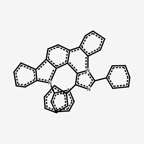 c1ccc(-c2nc(-c3ccccc3)n3c4ccccc4c4ccc5c6ccccc6n(-c6ccccn6)c5c4c23)cc1